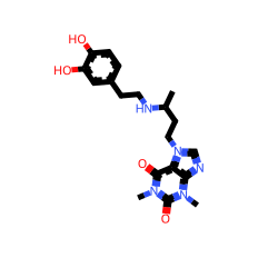 CC(CCn1cnc2c1c(=O)n(C)c(=O)n2C)NCCc1ccc(O)c(O)c1